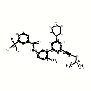 Cc1ccc(NC(=O)c2ccnc(C(F)(F)F)c2)cc1-c1cc(C#CCN(C)C)nc(N2CCOCC2)c1